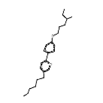 CCCCCCc1ccc(-c2ccc(OCCCC(C)CC)cc2)nc1